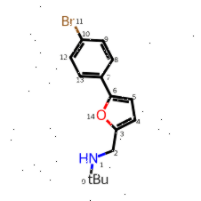 CC(C)(C)NCc1ccc(-c2ccc(Br)cc2)o1